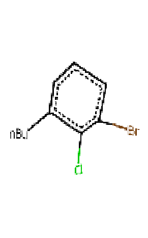 CCCCc1cccc(Br)c1Cl